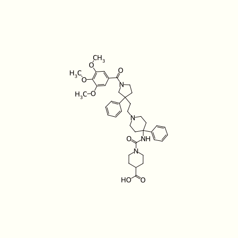 COc1cc(C(=O)N2CCC(CCN3CCC(NC(=O)N4CCC(C(=O)O)CC4)(c4ccccc4)CC3)(c3ccccc3)C2)cc(OC)c1OC